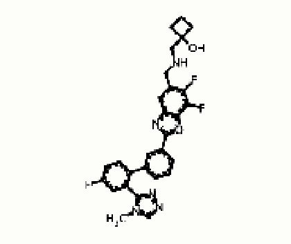 Cn1cnnc1-c1cc(F)ccc1-c1cccc(-c2nc3cc(CNCC4(O)CCC4)c(F)c(F)c3o2)c1